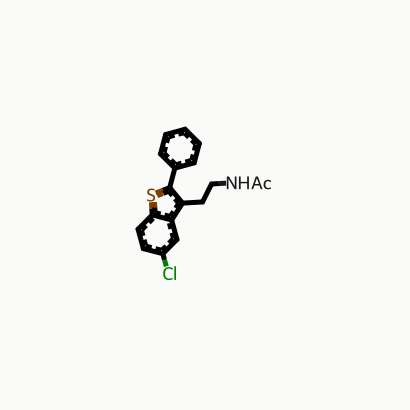 CC(=O)NCCc1c(-c2ccccc2)sc2ccc(Cl)cc12